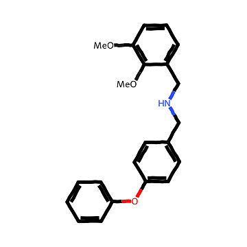 COc1cccc(CNCc2ccc(Oc3ccccc3)cc2)c1OC